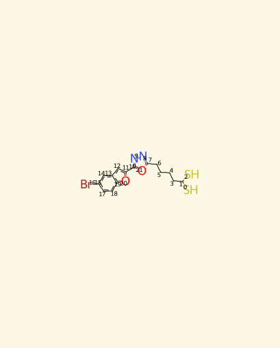 SC(S)CCCCc1nnc(-c2cc3cc(Br)ccc3o2)o1